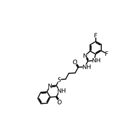 O=C(CCCSc1nc2ccccc2c(=O)[nH]1)Nc1nc2cc(F)cc(F)c2[nH]1